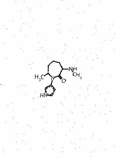 CNC1CCCC(C)N(c2cc[nH]c2)C1=O